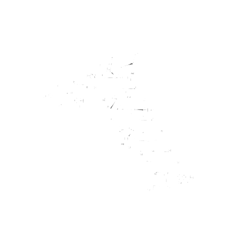 C=C(C)[C@@H]1CC[C@]2(NCCC3(O)COC3)CC[C@]3(C)[C@H](CC[C@@H]4[C@@]5(C)CC=C(C6=CCC(CF)(C(=O)O)CC6)C(C)(C)[C@@H]5CC[C@]43C)[C@@H]12